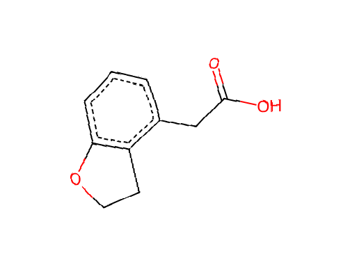 O=C(O)Cc1cccc2c1CCO2